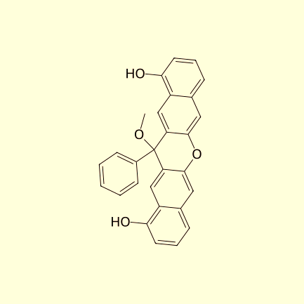 COC1(c2ccccc2)c2cc3c(O)cccc3cc2Oc2cc3cccc(O)c3cc21